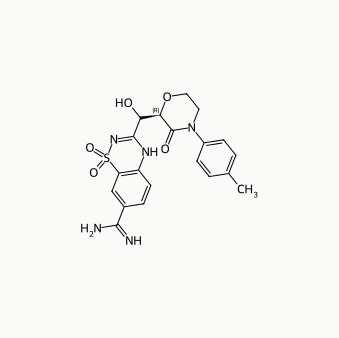 Cc1ccc(N2CCO[C@H](C(O)C3=NS(=O)(=O)c4cc(C(=N)N)ccc4N3)C2=O)cc1